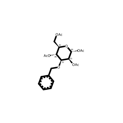 CC(=O)OC[C@H]1O[C@H](OC(C)=O)[C@@H](OC(C)=O)[C@@H](OCc2ccccc2)[C@@H]1OC(C)=O